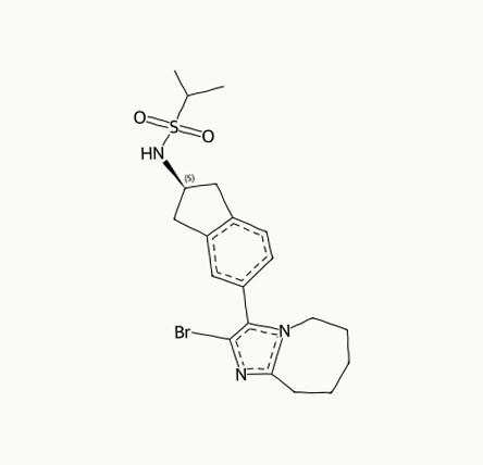 CC(C)S(=O)(=O)N[C@H]1Cc2ccc(-c3c(Br)nc4n3CCCCC4)cc2C1